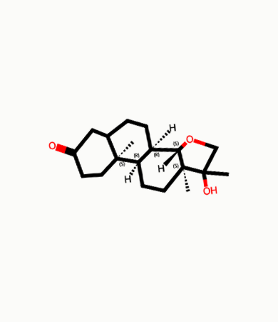 CC1(O)CO[C@H]2[C@@H]3CCC4CC(=O)CC[C@]4(C)[C@@H]3CC[C@@]21C